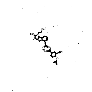 CC(C)Oc1ccc(-c2nsc(-c3cccc4c3CC3CC(O)N(CCO)C43)n2)cc1C#N